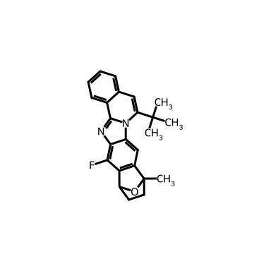 CC(C)(C)c1cc2ccccc2c2nc3c(F)c4c(cc3n12)C1(C)CCC4O1